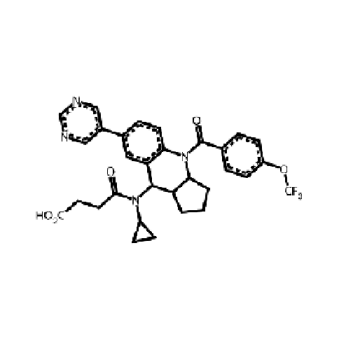 O=C(O)CCC(=O)N(C1CC1)C1c2cc(-c3cncnc3)ccc2N(C(=O)c2ccc(OC(F)(F)F)cc2)C2CCCC21